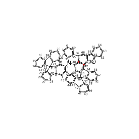 c1ccc(N(c2ccc3c(c2)C2(c4ccccc4-c4ccccc42)c2ccccc2-3)c2ccc3c(c2)C2(c4ccccc4-c4ccccc42)c2ccccc2-3)c(-c2ccc3oc4ccccc4c3c2)c1